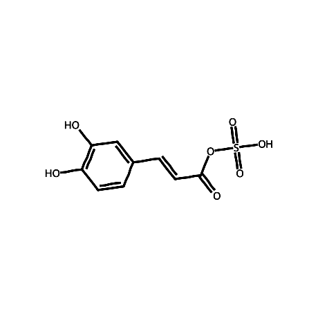 O=C(/C=C/c1ccc(O)c(O)c1)OS(=O)(=O)O